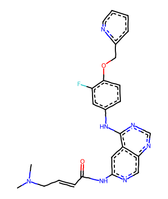 CN(C)CC=CC(=O)Nc1cc2c(Nc3ccc(OCc4ccccn4)c(F)c3)ncnc2cn1